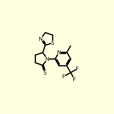 Cc1cc(C(F)(F)F)cc(N2C(=S)CCC2C2=NCCS2)n1